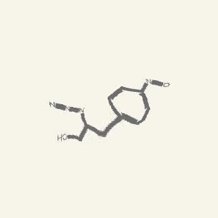 [N-]=[N+]=NC(CO)Cc1ccc(N=O)cc1